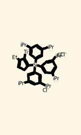 CCC1=CCC([Si](c2cc(C(C)C)cc(C(C)C)c2)(c2cc(C(C)C)cc(C(C)C)c2)c2cc(C(C)C)cc(C(C)C)c2)=[C]1[Ti+3].[Cl-].[Cl-].[Cl-]